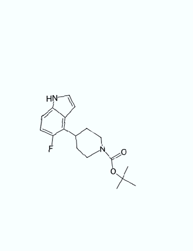 CC(C)(C)OC(=O)N1CCC(c2c(F)ccc3[nH]ccc23)CC1